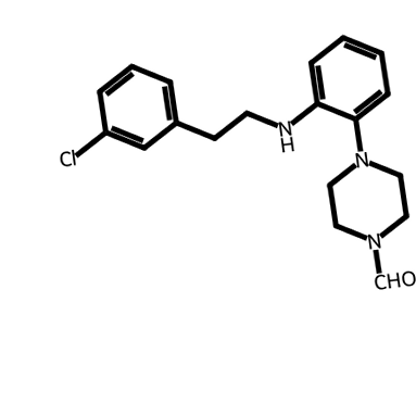 O=CN1CCN(c2ccccc2NCCc2cccc(Cl)c2)CC1